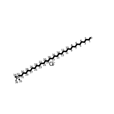 CCCCCCCCCCCCCCCCCCCCCCCCCCCCCCCCC[P+](C)(C)C.[Cl-]